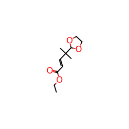 CCOC(=O)/C=C/C(C)(C)C1OCCO1